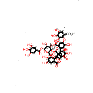 O=C(O[C@@H]1O[C@@H]2COC(=O)c3cc(O)c(O)c(O)c3-c3c(cc(Oc4c(C(=O)O)cc(O)c(O)c4O)c(O)c3O)C(=O)O[C@H]([C@H]1O)[C@@H]2OC(=O)C1CC(=O)c2oc(=O)c3cc(O)c(O)c(O)c3c21)c1cc(O)c(O)c(O)c1